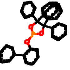 c1ccc(-c2ccccc2OP2OC(c3ccccc3)(c3ccccc3)C(c3ccccc3)(c3ccccc3)O2)cc1